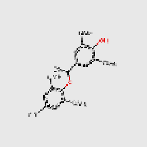 CCCc1cc(OC)c(OC(CC)c2cc(OC)c(O)c(OC)c2)c(OC)c1